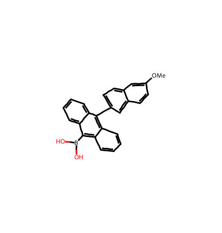 COc1ccc2cc(-c3c4ccccc4c(B(O)O)c4ccccc34)ccc2c1